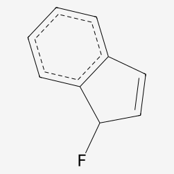 FC1C=Cc2ccccc21